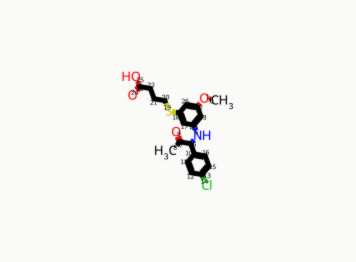 COc1cc(NC(C(C)=O)c2ccc(Cl)cc2)cc(SCCCC(=O)O)c1